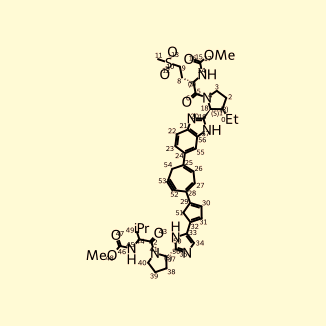 CC[C@@H]1CCN(C(=O)[C@H](CCS(C)(=O)=O)NC(=O)OC)[C@@H]1c1nc2ccc(C3=CC=C(C4=CC=C(c5cnc([C@@H]6CCCN6C(=O)C(NC(=O)OC)C(C)C)[nH]5)C4)C#CC3)cc2[nH]1